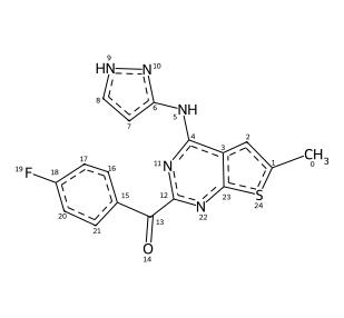 Cc1cc2c(Nc3cc[nH]n3)nc(C(=O)c3ccc(F)cc3)nc2s1